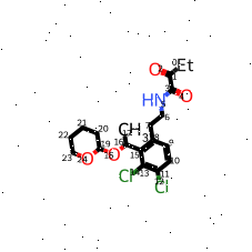 CCC(=O)C(=O)NCCc1ccc(Cl)c(Cl)c1C(C)OC1CCCCO1